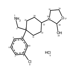 Cl.NCC1(c2cccc(Cl)c2)CCC(N2CCOC2O)CC1